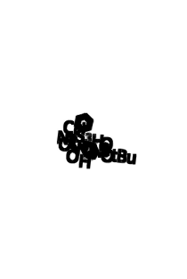 Cc1noc(C(=O)N2C[C@@H]3C[C@H]2CN3C(=O)OC(C)(C)C)c1SC1CCCCC1